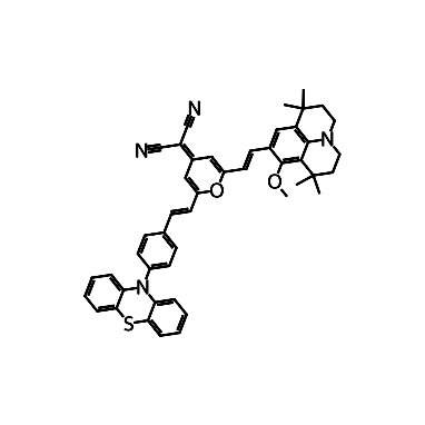 COc1c(/C=C/C2=CC(=C(C#N)C#N)C=C(/C=C/c3ccc(N4c5ccccc5Sc5ccccc54)cc3)O2)cc2c3c1C(C)(C)CCN3CCC2(C)C